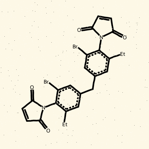 CCc1cc(Cc2cc(Br)c(N3C(=O)C=CC3=O)c(CC)c2)cc(Br)c1N1C(=O)C=CC1=O